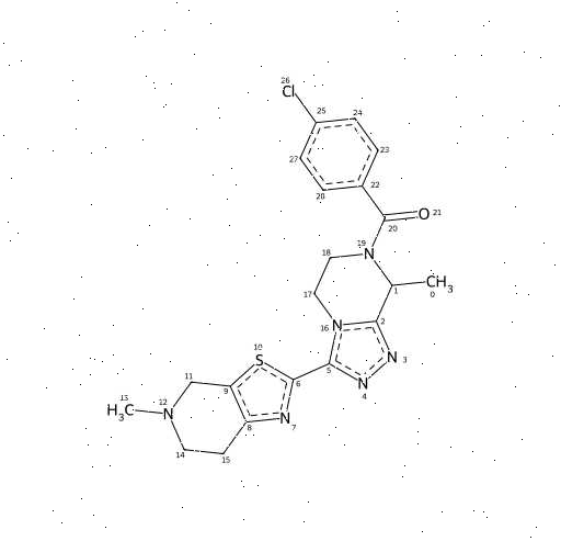 CC1c2nnc(-c3nc4c(s3)CN(C)CC4)n2CCN1C(=O)c1ccc(Cl)cc1